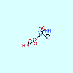 CCc1nn(CCCOC(=O)c2cc(O)co2)c2c1C(=O)NCC1(CCOCC1)C2